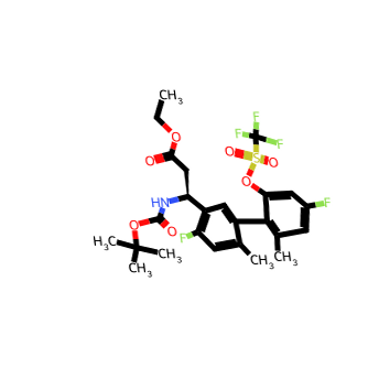 CCOC(=O)C[C@H](NC(=O)OC(C)(C)C)c1cc(-c2c(C)cc(F)cc2OS(=O)(=O)C(F)(F)F)c(C)cc1F